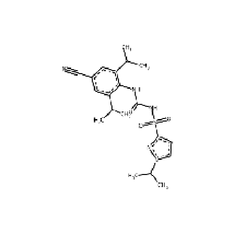 CC(C)c1cc(C#N)cc(C(C)C)c1NC(=O)NS(=O)(=O)c1ccn(C(C)C)n1